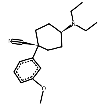 CCN(CC)[C@H]1CC[C@](C#N)(c2cccc(OC)c2)CC1